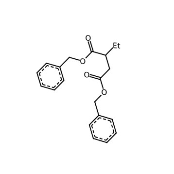 CCC(CC(=O)OCc1ccccc1)C(=O)OCc1ccccc1